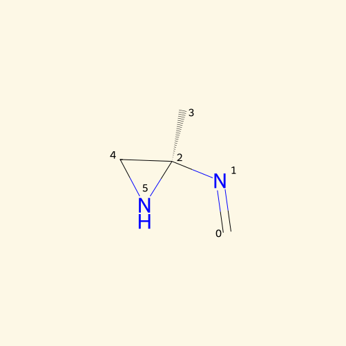 C=N[C@]1(C)CN1